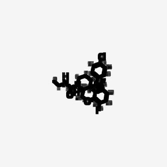 CCNC(=O)N1CCC[C@]2([S+]([O-])c3ccc(Cl)cc3)c3c(F)ccc(F)c3OC[C@H]12